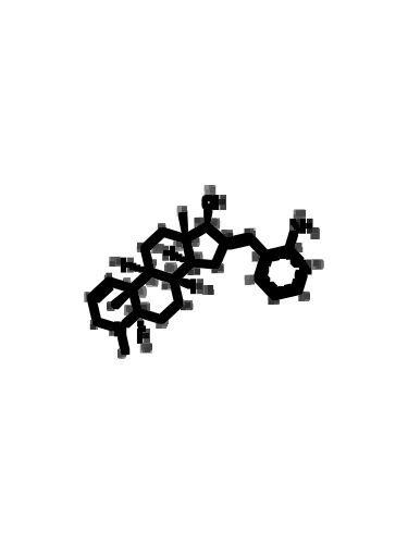 CN1CC=C[C@]2(C)[C@H]3CC[C@]4(C)[C@@H](O)C(=Cc5cccnc5N)C[C@H]4[C@@H]3CC[C@@H]12